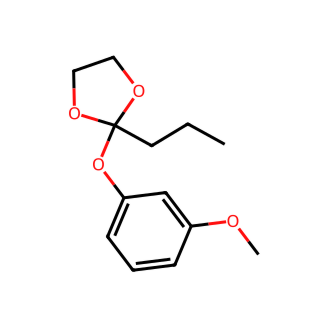 CCCC1(Oc2cccc(OC)c2)OCCO1